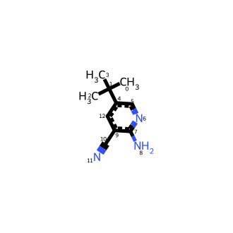 CC(C)(C)c1cnc(N)c(C#N)c1